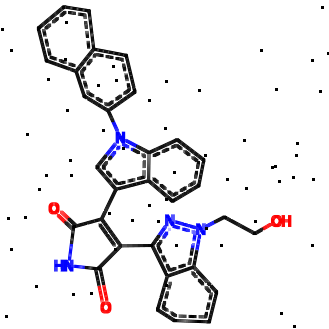 O=C1NC(=O)C(c2nn(CCO)c3ccccc23)=C1c1cn(-c2ccc3ccccc3c2)c2ccccc12